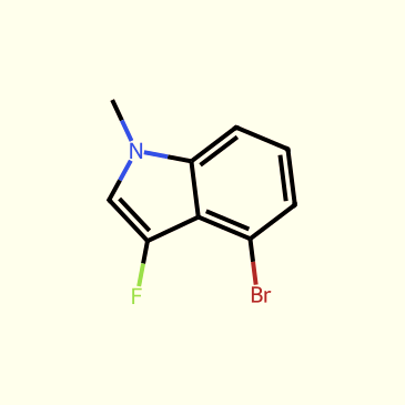 Cn1cc(F)c2c(Br)cccc21